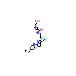 CN1CC[C@@H](Nc2cccc3c(CC(F)(F)F)c(C#CCNC(=O)c4cnn(CCO)c4)nn23)[C@@H](F)C1